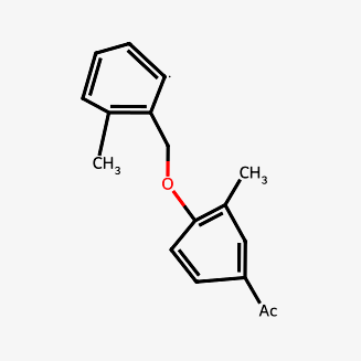 CC(=O)c1ccc(OCc2[c]cccc2C)c(C)c1